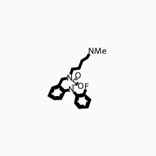 CNCCCCN1Cc2ccccc2N(c2ccccc2F)S1(=O)=O